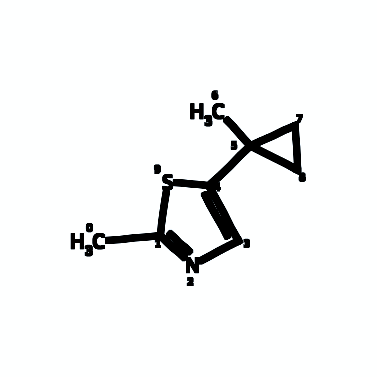 Cc1ncc(C2(C)CC2)s1